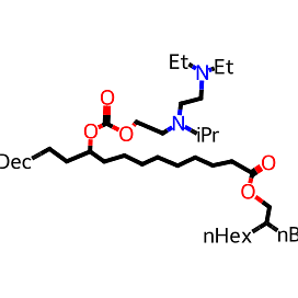 CCCCCCCCCCCCC(CCCCCCCCC(=O)OCC(CCCC)CCCCCC)OC(=O)OCCN(CCN(CC)CC)C(C)C